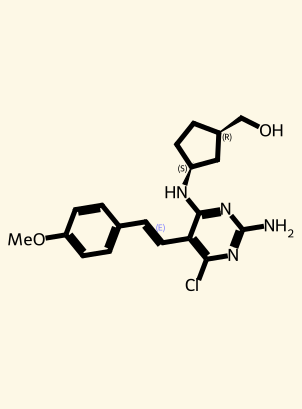 COc1ccc(/C=C/c2c(Cl)nc(N)nc2N[C@H]2CC[C@@H](CO)C2)cc1